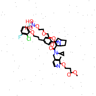 COC(=O)CCOc1nccc(CN(C(=O)C2=C(c3ccc(CCCOc4c(F)ccc(F)c4Cl)cc3)CC3CCC2N3C(=O)OCCOCCON(O)O)C2CC2)c1C